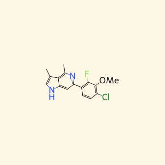 COc1c(Cl)ccc(-c2cc3[nH]cc(C)c3c(C)n2)c1F